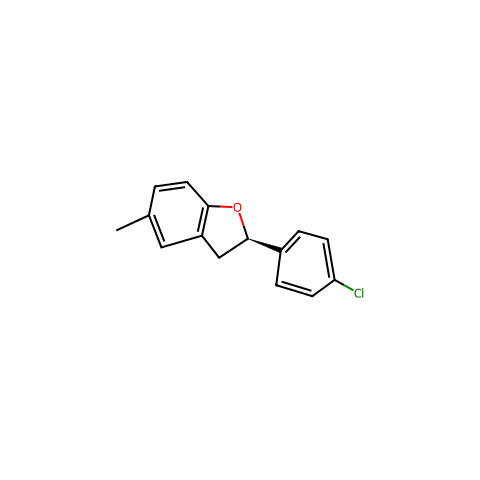 Cc1ccc2c(c1)C[C@H](c1ccc(Cl)cc1)O2